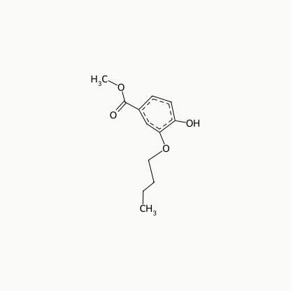 CCCCOc1cc(C(=O)OC)ccc1O